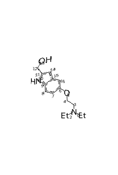 CCN(CC)CCOc1ccc2[nH]c(CO)cc2c1